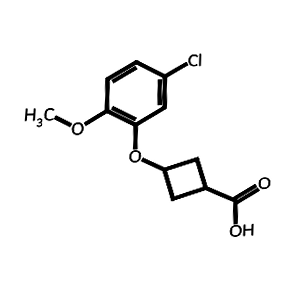 COc1ccc(Cl)cc1OC1CC(C(=O)O)C1